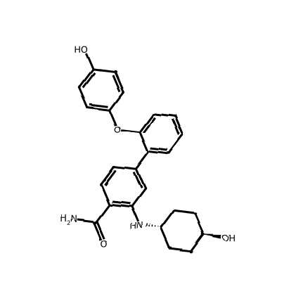 NC(=O)c1ccc(-c2ccccc2Oc2ccc(O)cc2)cc1N[C@H]1CC[C@H](O)CC1